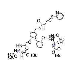 CC(C)(C)OC(=O)/N=C(/NCCOc1ccccc1-c1cc(CNC(=O)CCSSc2ccccn2)ccc1OCCN/C(=N/C(=O)OC(C)(C)C)NC(=O)OC(C)(C)C)NC(=O)OC(C)(C)C